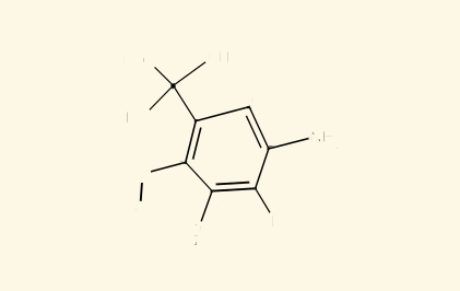 COc1c(C(C)(C)C)cc(N)c(F)c1Br